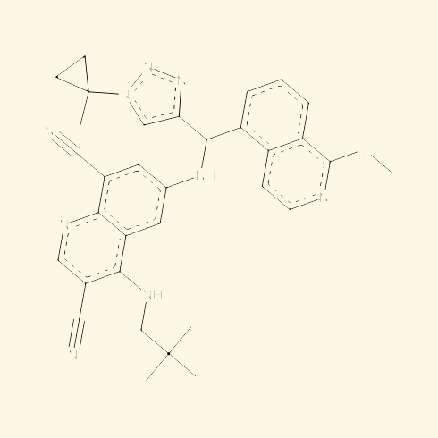 COc1nccc2c(C(Nc3cc(C#N)c4ncc(C#N)c(NCC(C)(C)C)c4c3)c3cn(C4(C)CC4)nn3)cccc12